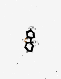 Cc1ccc2c(c1)SC1C=CC=CC21C